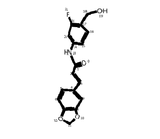 O=C(/C=C/c1ccc2c(c1)OCO2)Nc1ccc(CO)c(F)c1